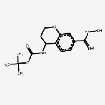 CC(C)(C)OC(=O)NC1CCOc2cc(C(=N)NO)ccc21